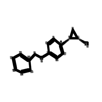 CC[C@H]1C[C@H]1c1ccc(OCc2ccccc2)cc1